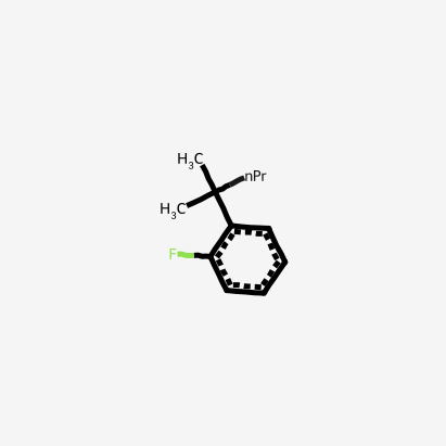 CCCC(C)(C)c1ccccc1F